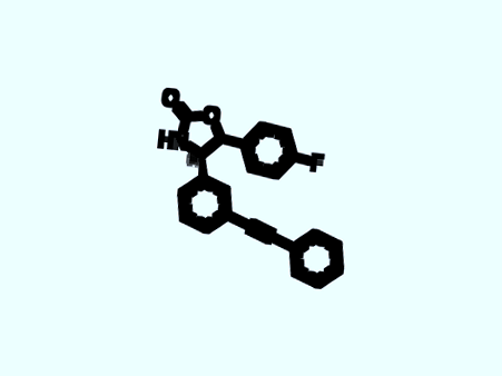 O=C1N[C@H](c2cccc(C#Cc3ccccc3)c2)C(c2ccc(F)cc2)O1